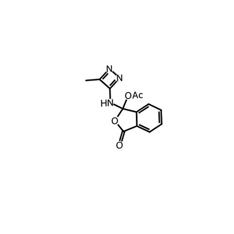 CC(=O)OC1(NC2=NN=C2C)OC(=O)c2ccccc21